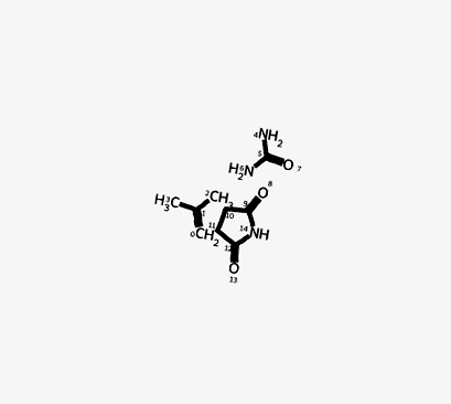 C=C(C)C.NC(N)=O.O=C1CCC(=O)N1